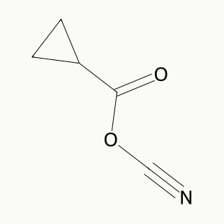 N#COC(=O)C1CC1